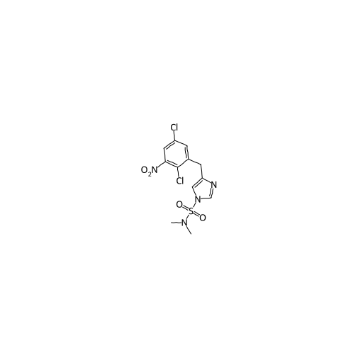 CN(C)S(=O)(=O)n1cnc(Cc2cc(Cl)cc([N+](=O)[O-])c2Cl)c1